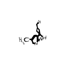 Cc1cnc2c(c1)C1(CN2)CC(=CC#N)C1